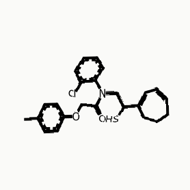 Cc1ccc(OCC(=O)N(CC(S)C2=CC=CCCC2)c2ccccc2Cl)cc1